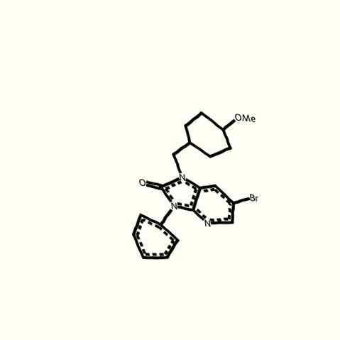 COC1CCC(Cn2c(=O)n(-c3ccccc3)c3ncc(Br)cc32)CC1